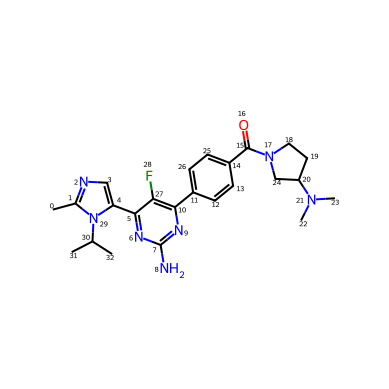 Cc1ncc(-c2nc(N)nc(-c3ccc(C(=O)N4CCC(N(C)C)C4)cc3)c2F)n1C(C)C